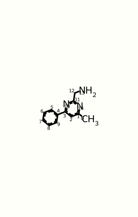 Cc1cc(-c2ccccc2)nc(CN)n1